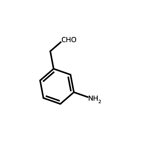 Nc1cccc(CC=O)c1